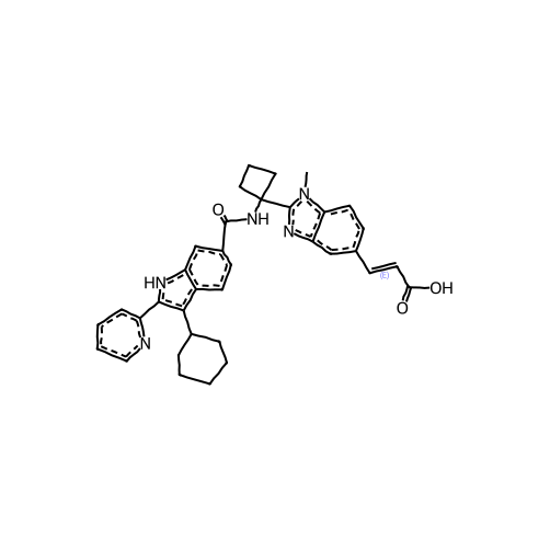 Cn1c(C2(NC(=O)c3ccc4c(C5CCCCC5)c(-c5ccccn5)[nH]c4c3)CCC2)nc2cc(/C=C/C(=O)O)ccc21